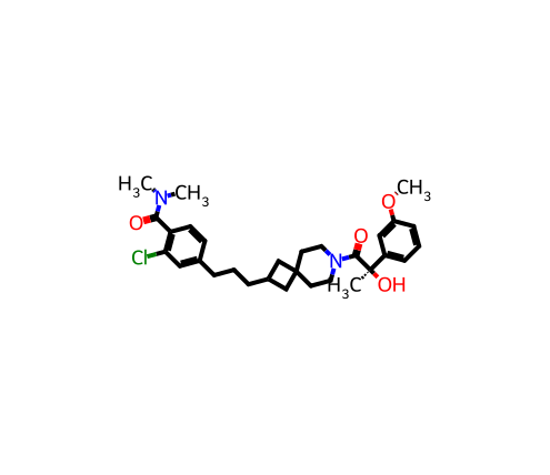 COc1cccc([C@@](C)(O)C(=O)N2CCC3(CC2)CC(CCCc2ccc(C(=O)N(C)C)c(Cl)c2)C3)c1